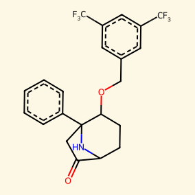 O=C1CC2(c3ccccc3)NC1CCC2OCc1cc(C(F)(F)F)cc(C(F)(F)F)c1